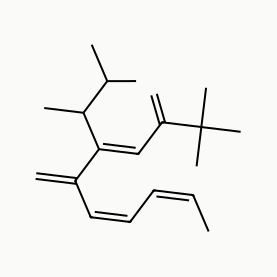 C=C(/C=C\C=C/C)/C(=C/C(=C)C(C)(C)C)C(C)C(C)C